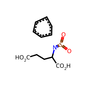 O=C(O)CCC(N=S(=O)=O)C(=O)O.c1ccccc1